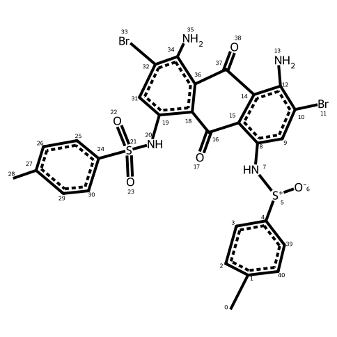 Cc1ccc([S+]([O-])Nc2cc(Br)c(N)c3c2C(=O)c2c(NS(=O)(=O)c4ccc(C)cc4)cc(Br)c(N)c2C3=O)cc1